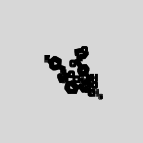 Cc1c(-c2cn(C)c(=O)c(Nc3ccc(C(=O)N4CCOCC4)cc3)n2)cccc1N1CCN(Cc2ccc(F)cc2)C1=O